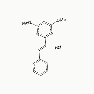 COc1cc(OC)nc(C=Cc2ccccc2)n1.Cl